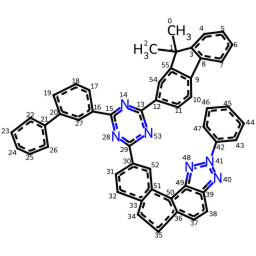 CC1(C)c2ccccc2-c2ccc(-c3nc(-c4cccc(-c5ccccc5)c4)nc(-c4ccc5ccc6ccc7nn(-c8ccccc8)nc7c6c5c4)n3)cc21